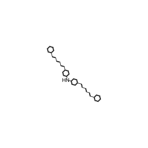 C(=C\C=C\c1ccc(Nc2ccc(/C=C/C=C/C=C/c3ccccc3)cc2)cc1)/C=C/c1ccccc1